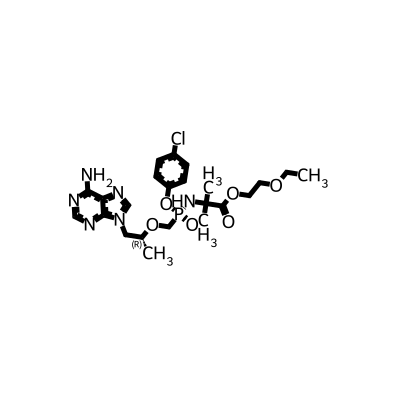 CCOCCOC(=O)C(C)(C)NP(=O)(CO[C@H](C)Cn1cnc2c(N)ncnc21)Oc1ccc(Cl)cc1